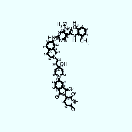 Cc1cccc(C)c1Nc1nn(C)c2nc(Nc3ccc4c(c3)CN(CCC3(O)CCN(c5ccc6c(c5)C(=O)N(C5CCC(=O)NC5=O)C6=O)CC3)CC4)ncc12